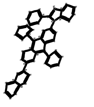 c1ccc(-c2c3ccc(-n4c(-c5ccccc5)nc5ccccc54)cc3c(-c3ccccc3)c3ccc(-c4ccc5ccccc5c4)cc23)cc1